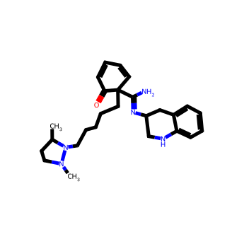 CC1CCN(C)N1CCCCCC1(C(N)=NC2CNc3ccccc3C2)C=CC=CC1=O